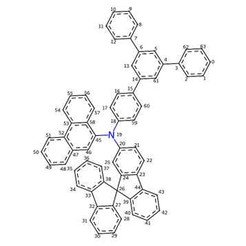 c1ccc(-c2cc(-c3ccccc3)cc(-c3ccc(N(c4ccc5c(c4)C4(c6ccccc6-c6ccccc64)c4ccccc4-5)c4cc5ccccc5c5ccccc45)cc3)c2)cc1